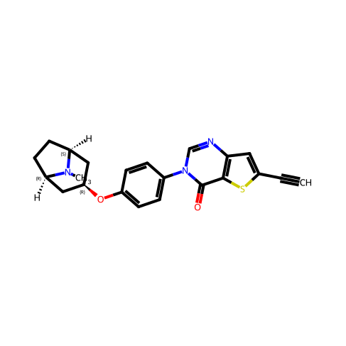 C#Cc1cc2ncn(-c3ccc(O[C@H]4C[C@H]5CC[C@@H](C4)N5C)cc3)c(=O)c2s1